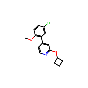 COc1ccc(Cl)cc1-c1ccnc(OC2CCC2)c1